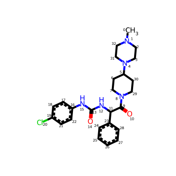 CN1CCN(C2CCN(C(=O)C(NC(=O)Nc3ccc(Cl)cc3)c3ccccc3)CC2)CC1